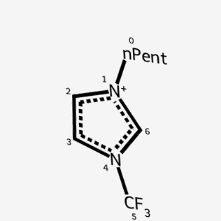 CCCCC[n+]1ccn(C(F)(F)F)c1